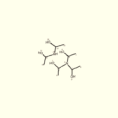 CC(O)N(C(C)O)C(C)O.CC(O)NC(C)O